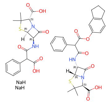 CC1(C)S[C@@H]2[C@H](NC(=O)C(C(=O)O)c3ccccc3)C(=O)N2[C@H]1C(=O)O.CC1(C)S[C@@H]2[C@H](NC(=O)C(C(=O)Oc3ccc4c(c3)CCC4)c3ccccc3)C(=O)N2[C@H]1C(=O)O.[NaH].[NaH]